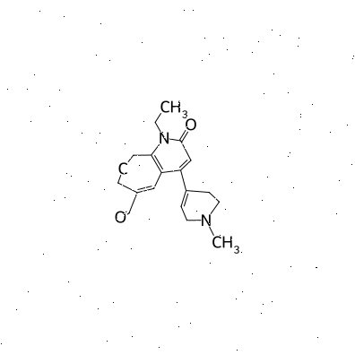 CCn1c2c(c(C3=CCN(C)CC3)cc1=O)C=C(C=O)CCC2